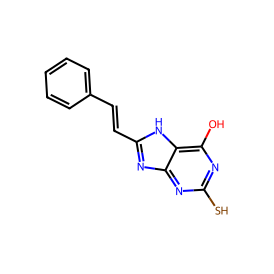 Oc1nc(S)nc2nc(C=Cc3ccccc3)[nH]c12